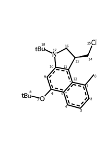 Cc1cccc2c(OC(C)(C)C)cc3c(c12)[C@H](CCl)CN3C(C)(C)C